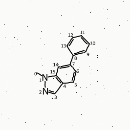 Cn1ncc2ccc(-c3ccccc3)cc21